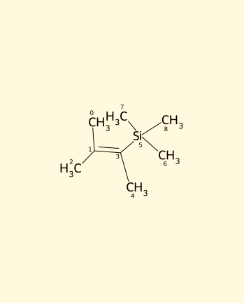 CC(C)=C(C)[Si](C)(C)C